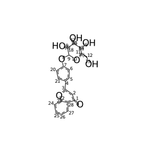 O=c1cc(-c2ccc(OC3O[C@H](CO)[C@@H](O)[C@H](O)[C@H]3O)cc2)oc2ccccc12